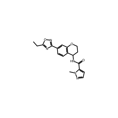 CCc1nc(-c2ccc3c(c2)OCCC3NC(=O)c2ccnn2C)no1